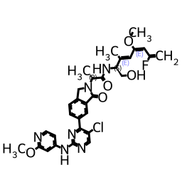 C=C(F)/C=C(\C=C(/C)[C@@H](CO)NC(=O)[C@@H](C)N1Cc2ccc(-c3nc(Nc4ccnc(OC)c4)ncc3Cl)cc2C1=O)OC